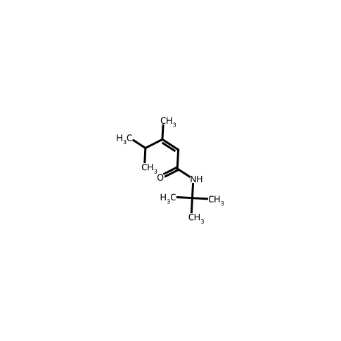 C/C(=C/C(=O)NC(C)(C)C)C(C)C